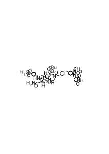 Cn1c(=O)n(C2CCC(=O)NC2=O)c2ccc(C[C@H]3CC[C@H](CC(=O)N4CC[C@H]5CC[C@@H](C(=O)N[C@@H](CCC(N)=O)C(=O)NCc6ccc(S(C)(=O)=O)cc6)N5C(=O)[C@@H](NC(=O)OC(C)(C)C)C4)CC3)cc21